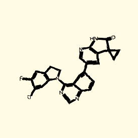 O=C1Nc2ncc(-c3ccc4ncnc(N5CCc6cc(F)c(Cl)cc65)c4c3)cc2C12CC2